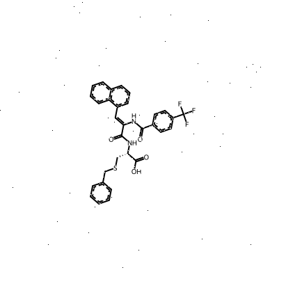 O=C(N[C@@H](CSCc1ccccc1)C(=O)O)C(=Cc1cccc2ccccc12)NC(=O)c1ccc(C(F)(F)F)cc1